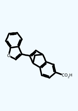 O=C(O)c1ccc2c(c1)C1C=C(c3coc4ccccc34)C2C1